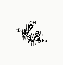 CC(C)[C@H](NC(=O)[C@H](Cc1ccc(O)cc1)NC(=O)OC(C)(C)C)C(=O)N[C@@H](C)C(=O)N[C@H](/C=C/S(C)(=O)=O)CC(=O)OC(C)(C)C